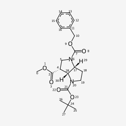 COC(=O)[C@@H]1CN(C(=O)OCc2ccccc2)[C@@H]2CCN(C(=O)OC(C)(C)C)[C@@H]21